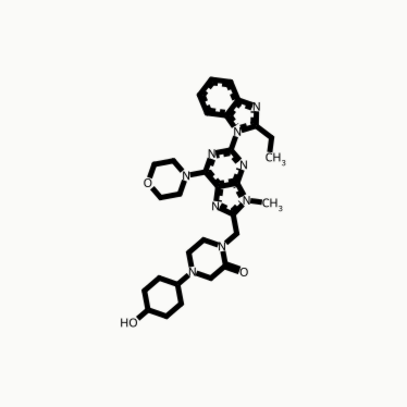 CCc1nc2ccccc2n1-c1nc(N2CCOCC2)c2nc(CN3CCN(C4CCC(O)CC4)CC3=O)n(C)c2n1